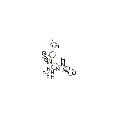 Cc1cnc(-c2ccc(Nc3cc(Nc4cc5n(n4)CCOC5)nc4[nH]c(C(F)F)nc34)c(S(C)(=O)=O)c2)s1